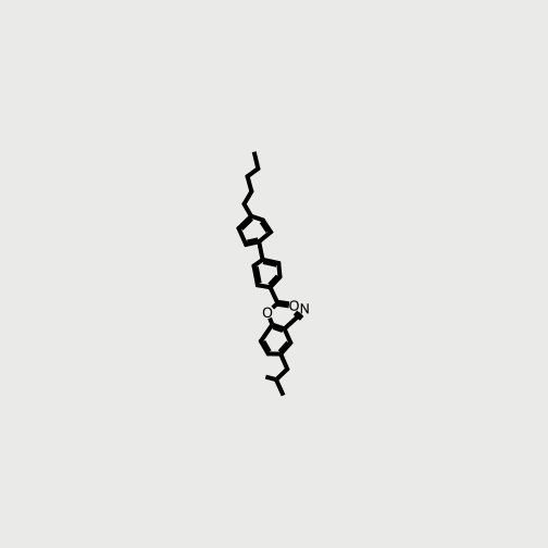 CCCCCc1ccc(-c2ccc(C(=O)Oc3ccc(CC(C)C)cc3C#N)cc2)cc1